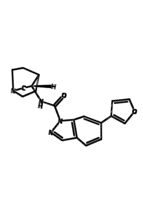 O=C(N[C@@H]1CN2CCC1CC2)n1ncc2ccc(-c3ccoc3)cc21